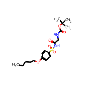 CCCCCOc1ccc(S(=O)(=O)NC(=O)CNC(=O)OC(C)(C)C)cc1